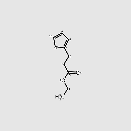 CCOC(=O)CCC1=CC=CC1